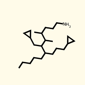 CCCCCC(CCCC1CC1)C(CC1CC1)C(C)C(C)CCCN